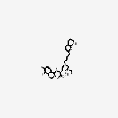 CO[C@H](CF)CN(CCCCc1ccc2c(n1)NCCC2)CC[C@H](Nc1ncnc2c(F)c(F)ccc12)C(=O)O